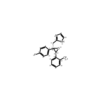 Fc1ccc([C@@]2(Cc3ncc[nH]3)O[C@H]2c2ccccc2C(F)(F)F)cc1